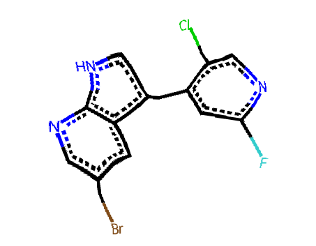 Fc1cc(-c2c[nH]c3ncc(Br)cc23)c(Cl)cn1